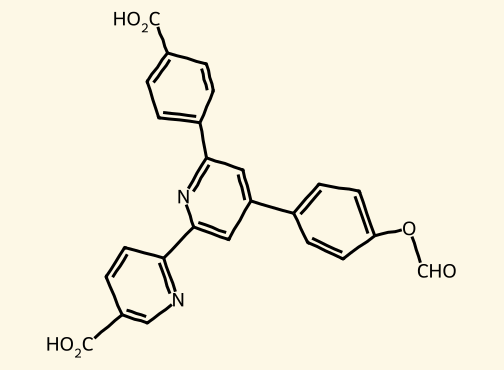 O=COc1ccc(-c2cc(-c3ccc(C(=O)O)cc3)nc(-c3ccc(C(=O)O)cn3)c2)cc1